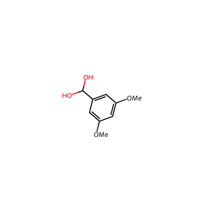 COc1cc(OC)cc(C(O)O)c1